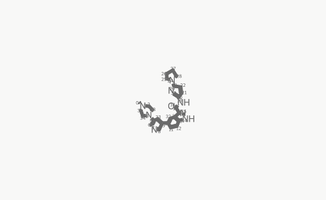 CN1CCN(c2cncc(-c3ccc4[nH]nc(C(=O)Nc5ccc(N6CCCC6)nc5)c4c3)c2)CC1